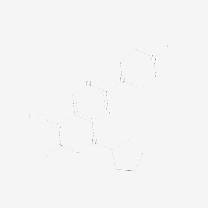 CN1CCN(c2ncc3c(n2)N(C2CCCC2)CC(=O)N3C)CC1